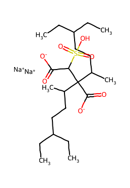 CCC(CC)CCC(C)C(C(=O)[O-])(C(C)CCC(CC)CC)C(C(=O)[O-])S(=O)(=O)O.[Na+].[Na+]